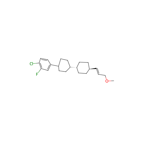 COC/C=C/[C@H]1CC[C@H](C2CCC(c3ccc(Cl)c(F)c3)CC2)CC1